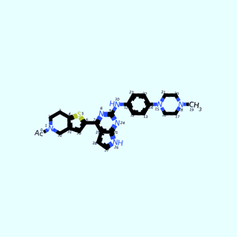 CC(=O)N1CCc2sc(-c3nc(Nc4ccc(N5CCN(C)CC5)cc4)nc4[nH]ccc34)cc2C1